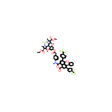 CCOC(=O)C1=C(C)/C(=C(\c2c(OC)cc(OC(=O)Cc3ccc(N(C)C(=O)c4cc(-c5ccc(C(F)(F)F)cc5)c5c6c(c(-c7ccc(C(F)(F)F)cc7)cc(C=O)c46)-c4ccccc4O5)cc3)cc2OC)c2c(C)c(C(=O)OCC)c(C)n2B(F)F)N=C1C